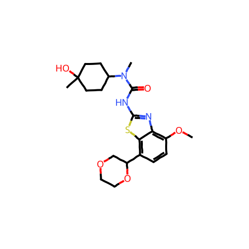 COc1ccc(C2COCCO2)c2sc(NC(=O)N(C)C3CCC(C)(O)CC3)nc12